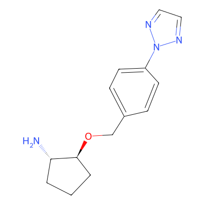 N[C@H]1CCC[C@@H]1OCc1ccc(-n2nccn2)cc1